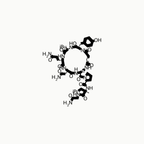 CC[C@H](C)[C@@H]1NC(=O)[C@H](Cc2ccc(O)cc2)NC(=O)CCC(=O)NC[C@@H](C(=O)N2CCC[C@H]2C(=O)N[C@](C)(CC(C)C)C(=O)NCC(N)=O)NC(=O)[C@H](CC(N)=O)NC(=O)[C@H](CCC(N)=O)NC1=O